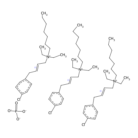 CCCCCCC[N+](CC)(CC)C/C=C/Cc1ccc(Cl)cc1.CCCCCCC[N+](CC)(CC)C/C=C/Cc1ccc(Cl)cc1.CCCCCCC[N+](CC)(CC)C/C=C/Cc1ccc(Cl)cc1.O=P([O-])([O-])[O-]